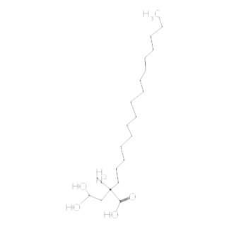 CCCCCCCCCCCCCCCCC(N)(CC(O)O)C(=O)O